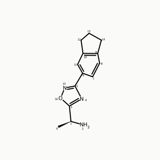 C[C@H](N)c1nc(-c2ccc3c(c2)CCC3)no1